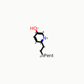 CCCCCCCc1ccc(O)cn1